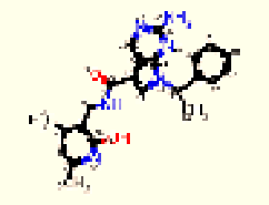 Cc1cc(C)c(CNC(=O)c2cn([C@H](C)c3ccccc3)c3nc(N)ncc23)c(O)n1